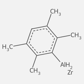 Cc1cc(C)c(C)[c]([AlH2])c1C.[Zr]